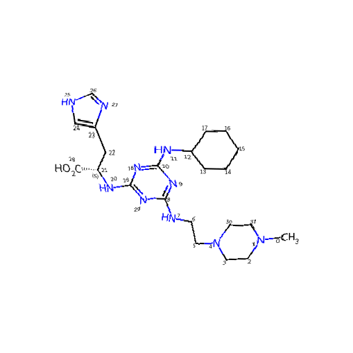 CN1CCN(CCNc2nc(NC3CCCCC3)nc(N[C@@H](Cc3c[nH]cn3)C(=O)O)n2)CC1